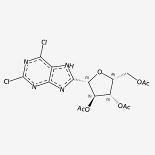 CC(=O)OC[C@H]1O[C@@H](c2nc3nc(Cl)nc(Cl)c3[nH]2)[C@H](OC(C)=O)[C@H]1OC(C)=O